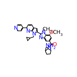 COc1cc(C(=O)N2CC3CCC2C3N)cc2nc(-c3cc4ccc(-c5ccncc5)nc4n3CC3CC3)n(C)c12